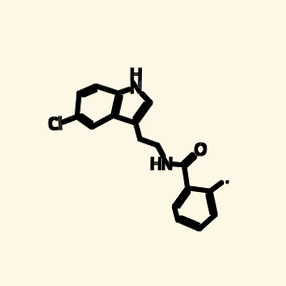 [CH2]c1ccccc1C(=O)NCCc1c[nH]c2ccc(Cl)cc12